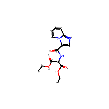 CCOC(=O)C(NC(=O)c1cnc2ccccn12)C(=O)OCC